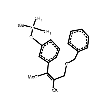 COC(=C(COCc1ccccc1)C(C)(C)C)c1cccc(O[Si](C)(C)C(C)(C)C)c1